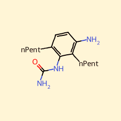 CCCCCc1ccc(N)c(CCCCC)c1NC(N)=O